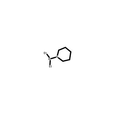 C[CH2][Al]([CH2]C)[N]1CCCCC1